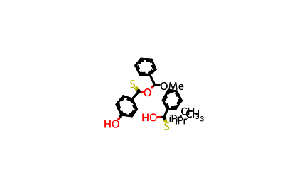 CC(C)C.CC(C)C.COC(OC(=S)c1ccc(O)cc1)c1ccccc1.OC(=S)c1ccccc1